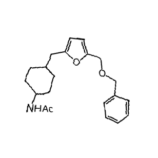 CC(=O)NC1CCC(Cc2ccc(COCc3ccccc3)o2)CC1